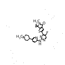 CN1CCC(c2ccc(Nc3ncc(F)c(-c4cc5c(s4)C4(CC4)N(C)C5=O)n3)nc2)CC1